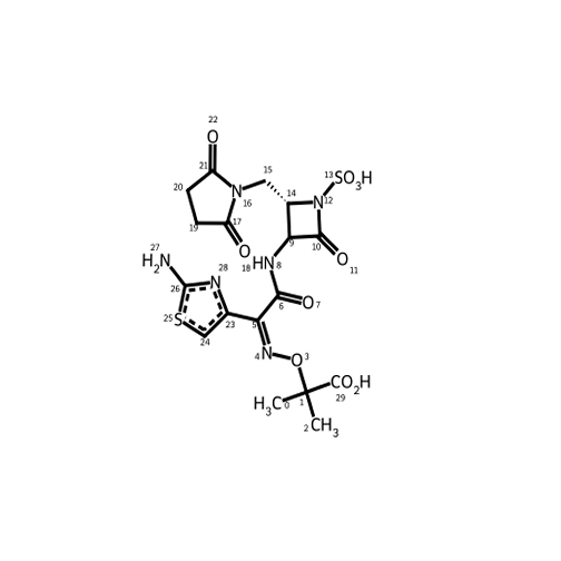 CC(C)(O/N=C(\C(=O)NC1C(=O)N(S(=O)(=O)O)[C@H]1CN1C(=O)CCC1=O)c1csc(N)n1)C(=O)O